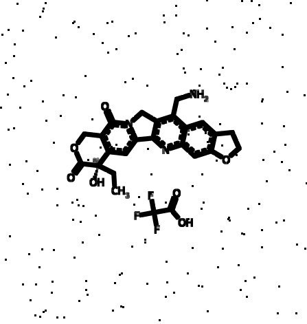 CC[C@@]1(O)C(=O)OCc2c1cc1n(c2=O)Cc2c-1nc1cc3c(cc1c2CN)CCO3.O=C(O)C(F)(F)F